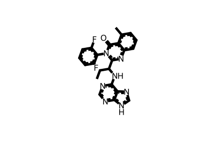 CCC(Nc1ncnc2[nH]cnc12)c1nc2cccc(C)c2c(=O)n1-c1c(F)cccc1F